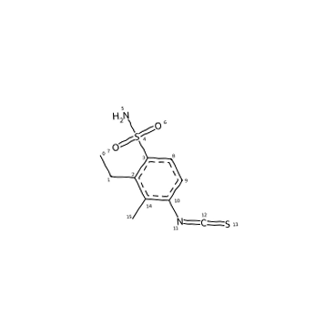 CCc1c(S(N)(=O)=O)ccc(N=C=S)c1C